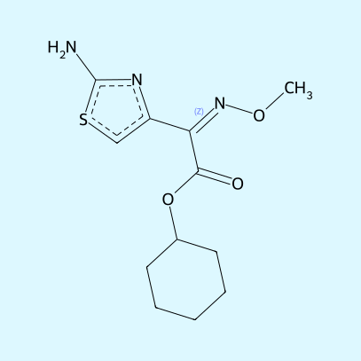 CO/N=C(\C(=O)OC1CCCCC1)c1csc(N)n1